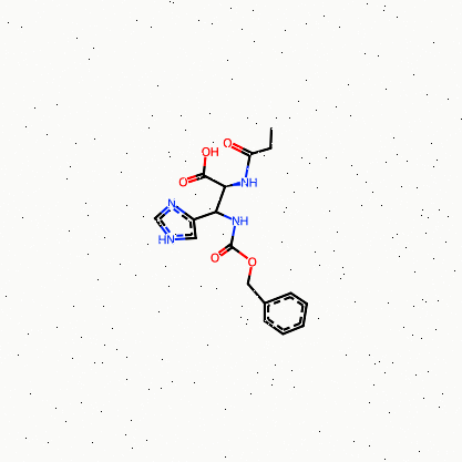 CCC(=O)N[C@H](C(=O)O)C(NC(=O)OCc1ccccc1)c1c[nH]cn1